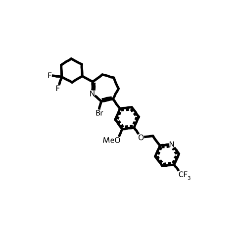 COc1cc(C2=C(Br)N=C(C3CCCC(F)(F)C3)CCC2)ccc1OCc1ccc(C(F)(F)F)cn1